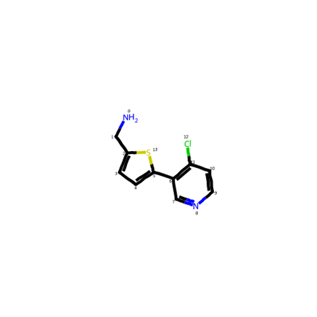 NCc1ccc(-c2cnccc2Cl)s1